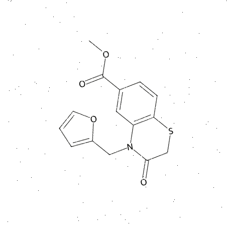 COC(=O)c1ccc2c(c1)N(Cc1ccco1)C(=O)CS2